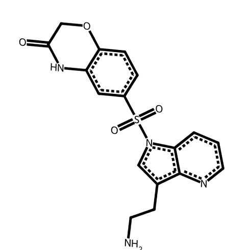 NCCc1cn(S(=O)(=O)c2ccc3c(c2)NC(=O)CO3)c2cccnc12